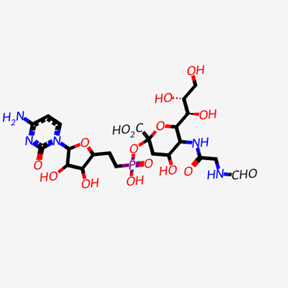 Nc1ccn(C2OC(CCP(=O)(O)OC3(C(=O)O)CC(O)C(NC(=O)CNC=O)C([C@H](O)[C@H](O)CO)O3)C(O)C2O)c(=O)n1